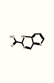 O=C(O)C1N=Cc2ncccc2N1